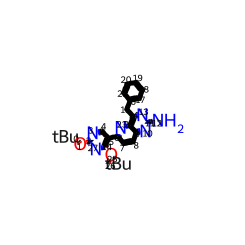 CC(C)(C)Oc1ncc(-c2ccc3nc(N)nc(Cc4ccccc4)c3n2)c(OC(C)(C)C)n1